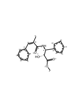 COC(=O)[C@H](O)[C@@H](NC(=O)C(C)=Cc1ccccc1)c1ccccc1